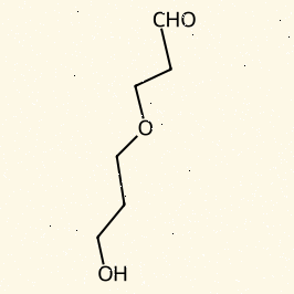 O=CCCOCCCO